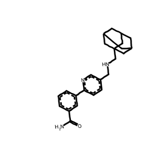 NC(=O)c1cccc(-c2ccc(CNCC34CC5CC(CC(C5)C3)C4)cn2)c1